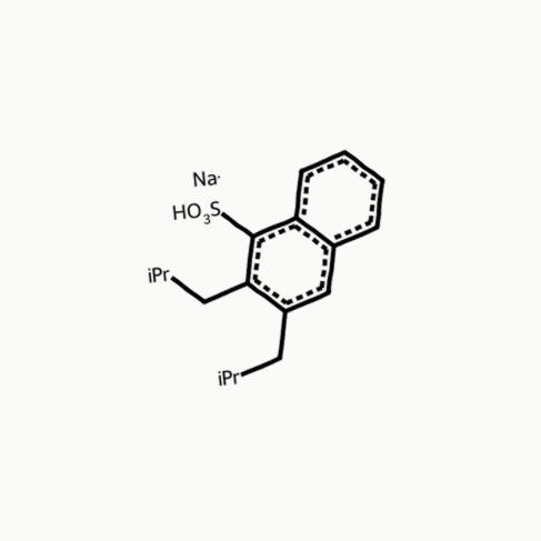 CC(C)Cc1cc2ccccc2c(S(=O)(=O)O)c1CC(C)C.[Na]